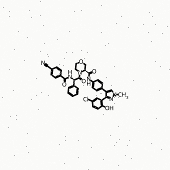 Cn1cc(-c2ccc(NC(=O)[C@@H]3COCCN3C(=O)[C@H](NC(=O)c3ccc(C#N)cc3)c3ccccc3)cc2)c(-c2cc(Cl)ccc2O)n1